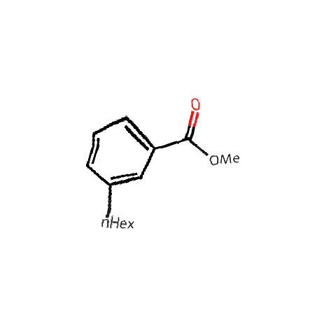 CCCCCCc1cccc(C(=O)OC)c1